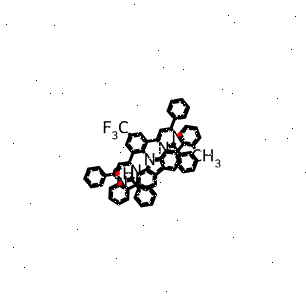 Cc1ccccc1-c1ccc2c3ccc(-c4ccccc4C)cc3n(-c3c(-c4cc(-c5ccccc5)nc(-c5ccccc5)n4)cc(C(F)(F)F)cc3-c3cc(-c4ccccc4)nc(-c4ccccc4)n3)c2c1